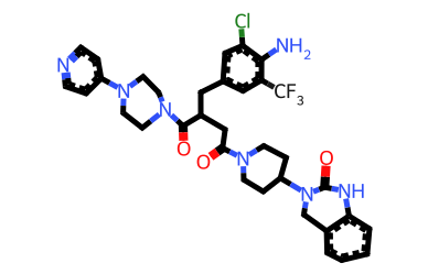 Nc1c(Cl)cc(CC(CC(=O)N2CCC(N3Cc4ccccc4NC3=O)CC2)C(=O)N2CCN(c3ccncc3)CC2)cc1C(F)(F)F